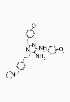 COc1ccc(CNc2nc(Cc3ccc(OC)cc3)nc(CCc3ccc(CN4CCCC4)cc3)c2N)cc1